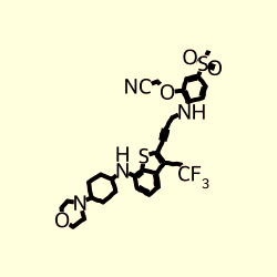 CS(=O)(=O)c1ccc(NCC#Cc2sc3c(NC4CCC(N5CCOCC5)CC4)cccc3c2CC(F)(F)F)c(OCC#N)c1